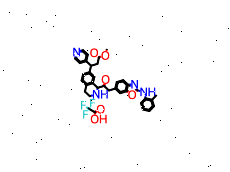 COC(=O)CC(c1ccncc1)c1ccc2c(c1)C(C(=O)Cc1ccc3nc(Nc4ccccc4C)oc3c1)NCC2.O=C(O)C(F)(F)F